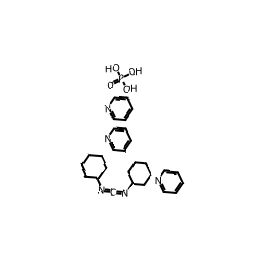 C(=NC1CCCCC1)=NC1CCCCC1.O=P(O)(O)O.c1ccncc1.c1ccncc1.c1ccncc1